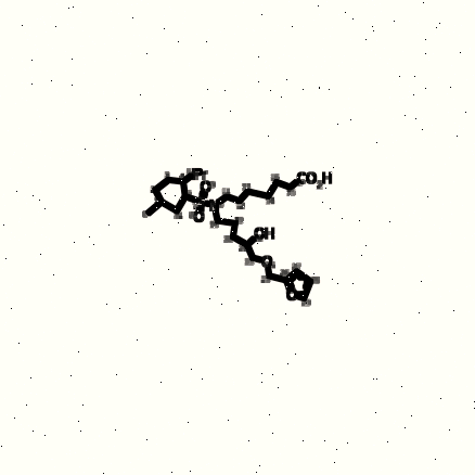 CC1CCC(C(C)C)C(S(=O)(=O)N(CCCCCCC(=O)O)CCCC(O)COCc2ccco2)C1